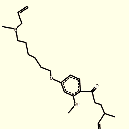 C=CCN(C)CCCCCCOc1ccc(C(=O)CCC(C)C=C)c(NC)c1